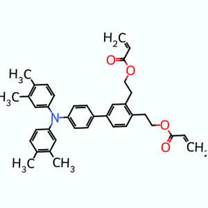 C=CC(=O)OCCc1ccc(-c2ccc(N(c3ccc(C)c(C)c3)c3ccc(C)c(C)c3)cc2)cc1CCOC(=O)C=C